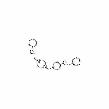 c1ccc(COc2ccc(CN3CCN(CCOc4ccccc4)CC3)cc2)cc1